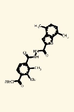 COC(=O)c1ccc(C(=O)NNC(=O)c2cc3c(C)ccc(C)c3o2)c(C)c1C(C)(C)C